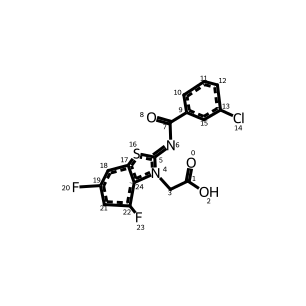 O=C(O)Cn1c(=NC(=O)c2cccc(Cl)c2)sc2cc(F)cc(F)c21